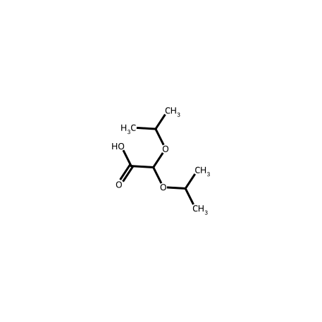 CC(C)OC(OC(C)C)C(=O)O